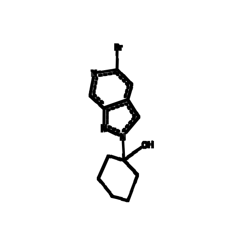 OC1(n2cc3cc(Br)ncc3n2)CCCCC1